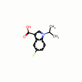 CC(C)n1cc(C(=O)O)c2cc(F)ccc21